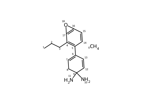 C.CCCc1c(C2=CCC(N)(N)C=C2)ccc2c1O2